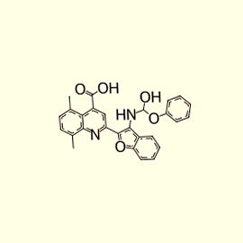 Cc1ccc(C)c2c(C(=O)O)cc(-c3oc4ccccc4c3NC(O)Oc3ccccc3)nc12